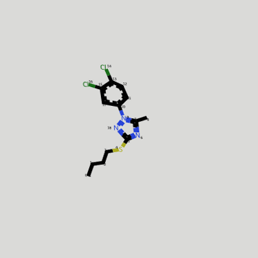 [CH2]CCCSc1nc(C)n(-c2ccc(Cl)c(Cl)c2)n1